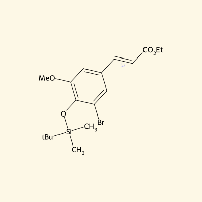 CCOC(=O)/C=C/c1cc(Br)c(O[Si](C)(C)C(C)(C)C)c(OC)c1